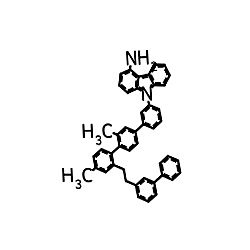 Cc1ccc(-c2ccc(-c3cccc(-n4c5ccccc5c5c(N)cccc54)c3)cc2C)c(CCc2cccc(-c3ccccc3)c2)c1